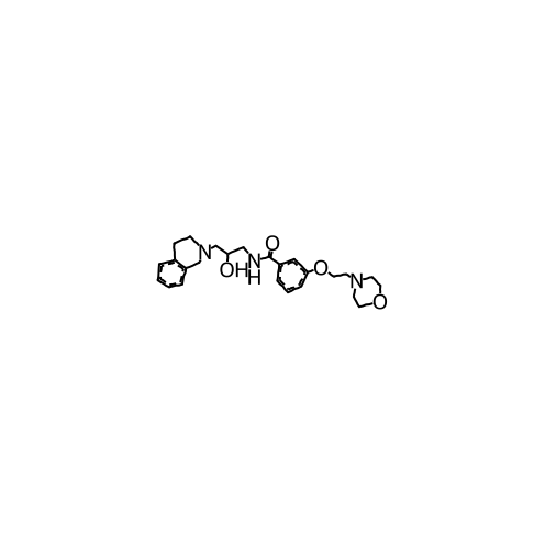 O=C(NCC(O)CN1CCc2ccccc2C1)c1cccc(OCCN2CCOCC2)c1